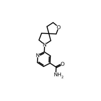 NC(=O)c1ccnc(N2CCC3(CCOC3)C2)c1